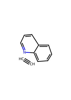 C#C.c1ccc2ncccc2c1